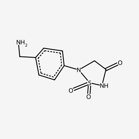 NCc1ccc(N2CC(=O)NS2(=O)=O)cc1